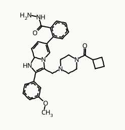 COc1cccc(C2=C(CN3CCN(C(=O)C4CCC4)CC3)N3C=C(c4ccccc4C(=O)NN)C=CC3N2)c1